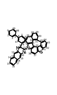 c1ccc(-c2cccc(-c3nc4cc5ccccc5cc4nc3-n3c4ccc5cccc6c5c4c4c5c(ccc43)sc3cccc-6c35)c2)cc1